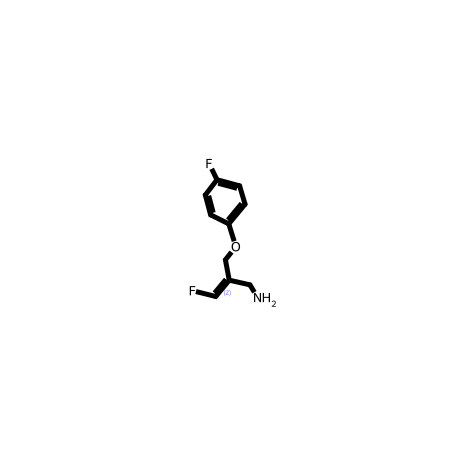 NC/C(=C/F)COc1ccc(F)cc1